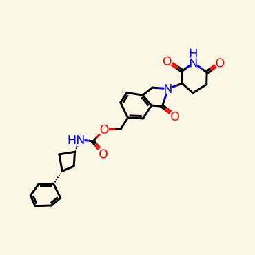 O=C1CCC(N2Cc3ccc(COC(=O)N[C@H]4C[C@@H](c5ccccc5)C4)cc3C2=O)C(=O)N1